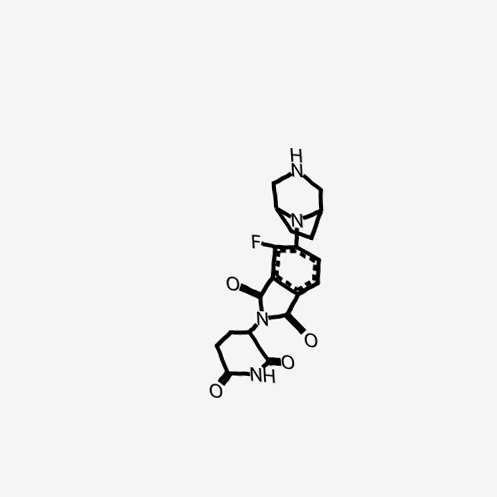 O=C1CCC(N2C(=O)c3ccc(N4C5CCC4CNC5)c(F)c3C2=O)C(=O)N1